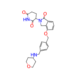 O=C1CCC(N2Cc3c(OCc4ccc(CNC5CCOCC5)cc4)cccc3C2=O)C(=O)N1